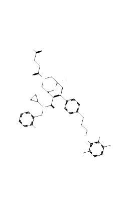 O=C(O)CCC(=O)N1C[C@H]2CC(c3ccc(CCCOc4c(F)ccc(F)c4F)cc3)=C(C(=O)N(Cc3ccccc3Cl)C3CC3)[C@@H](C1)N2